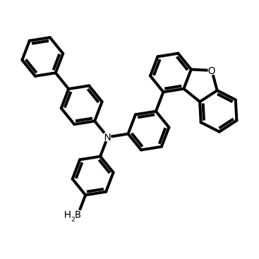 Bc1ccc(N(c2ccc(-c3ccccc3)cc2)c2cccc(-c3cccc4oc5ccccc5c34)c2)cc1